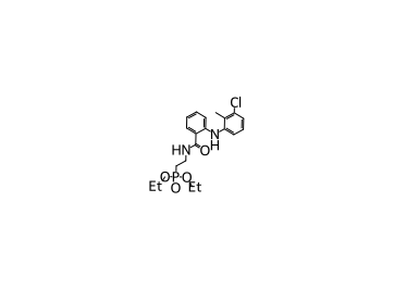 CCOP(=O)(CCNC(=O)c1ccccc1Nc1cccc(Cl)c1C)OCC